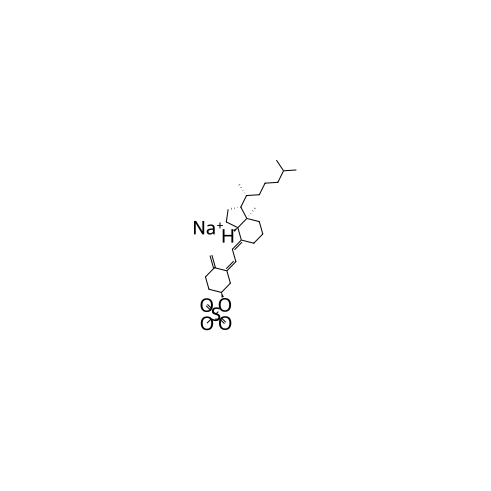 C=C1CC[C@H](OS(=O)(=O)[O-])C/C1=C/C=C1\CCC[C@]2(C)[C@@H]([C@H](C)CCCC(C)C)CC[C@@H]12.[Na+]